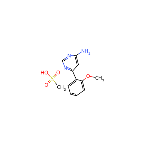 COc1ccccc1-c1cc(N)ncn1.CS(=O)(=O)O